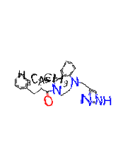 C[As](C)C(Cc1ccccc1)C(=O)N1CCN(Cc2c[nH]cn2)c2ccccc2C1